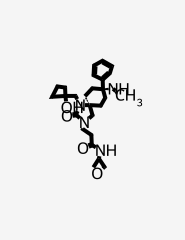 CN[C@]1(c2ccccc2)CC[C@]2(CC1)CN(CCC(=O)NC1COC1)C(=O)N2CC1(O)CCC1